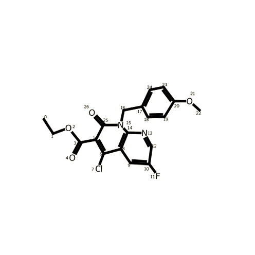 CCOC(=O)c1c(Cl)c2cc(F)cnc2n(Cc2ccc(OC)cc2)c1=O